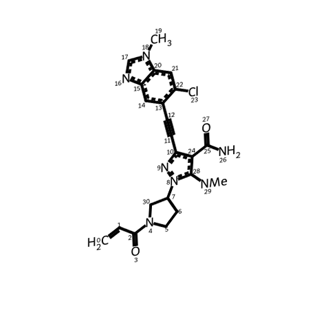 C=CC(=O)N1CCC(n2nc(C#Cc3cc4ncn(C)c4cc3Cl)c(C(N)=O)c2NC)C1